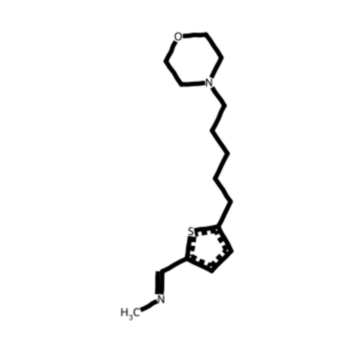 C/N=C/c1ccc(CCCCCN2CCOCC2)s1